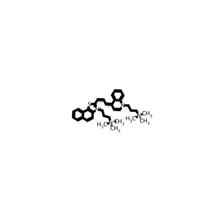 C[N+](C)(C)CCCN1C=C/C(=C/C=C\c2sc3c4ccccc4ccc3[n+]2CCC[N+](C)(C)C)c2ccccc21